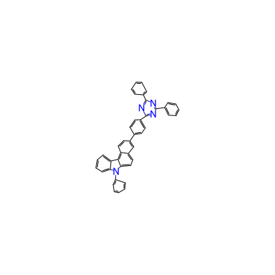 c1ccc(-c2nc(-c3ccccc3)nc(-c3ccc(-c4ccc5c(ccc6c5c5ccccc5n6-c5ccccc5)c4)cc3)n2)cc1